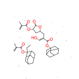 C=C(C)C(=O)OC1(CC)C2CC3CC(C2)CC1C3.C=C(C)C(=O)OC1CC(CC(=CO)C(=O)OC23CC4CC(CC(C4)C2)C3)OC1=O